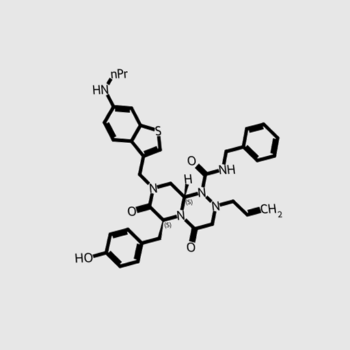 C=CCN1CC(=O)N2[C@@H](Cc3ccc(O)cc3)C(=O)N(CC3=CSC4C=C(NCCC)C=CC34)C[C@@H]2N1C(=O)NCc1ccccc1